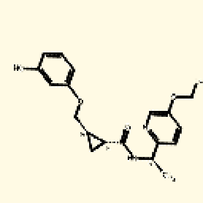 C[C@@H](NC(=O)[C@@H]1C[C@H]1COc1cccc(C#N)c1)c1ccc(OCC(F)(F)F)cn1